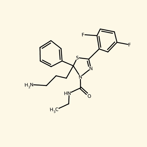 CCNC(=O)N1N=C(c2cc(F)ccc2F)SC1(CCCN)c1ccccc1